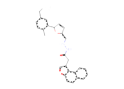 Cc1ccc(CC(=O)O)cc1C1C=CC(=CNNC(=O)Cc2coc3ccc4ccccc4c23)O1